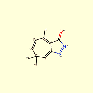 CC1=C2C(=O)N=NC2=CC(C)(C)C=C1